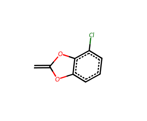 C=C1Oc2cccc(Cl)c2O1